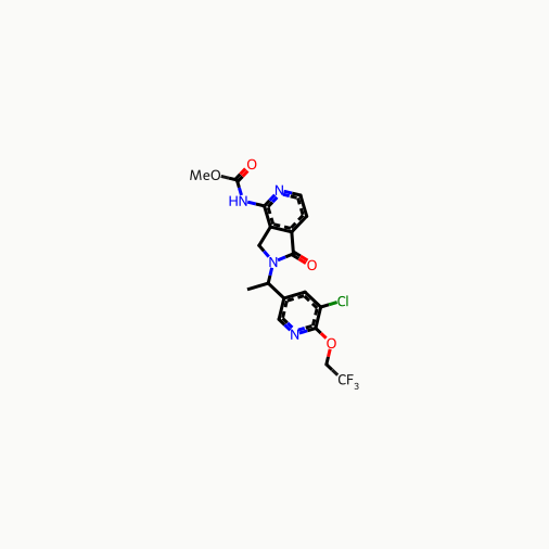 COC(=O)Nc1nccc2c1CN(C(C)c1cnc(OCC(F)(F)F)c(Cl)c1)C2=O